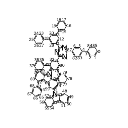 c1ccc(-c2ccc(-c3nc(-c4cc(-c5ccccc5)cc(-c5ccccc5)c4)nc(-c4cc(-c5ccccc5)c(-n5c6ccc(-n7c8ccccc8c8ccccc87)cc6c6c(-c7ccccc7)cccc65)c(-c5ccccc5)c4)n3)cc2)cc1